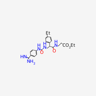 CCOC(=O)CCNC(=O)C(CNC(=O)Nc1ccc(C(=N)N)cc1)c1ccc(CC)cc1